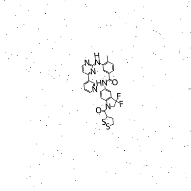 Cc1ccc(C(=O)Nc2ccc3c(c2)C(F)(F)CN3C(=O)C2CCSS2)cc1Nc1nccc(-c2cccnc2)n1